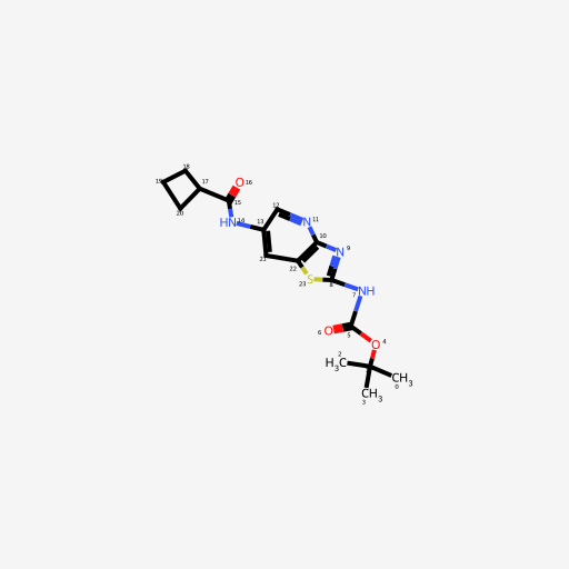 CC(C)(C)OC(=O)Nc1nc2ncc(NC(=O)C3CCC3)cc2s1